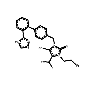 CCCc1c(C(F)F)n(CCC(C)C)c(=O)n1Cc1ccc(-c2ccccc2-c2nnn[nH]2)cc1